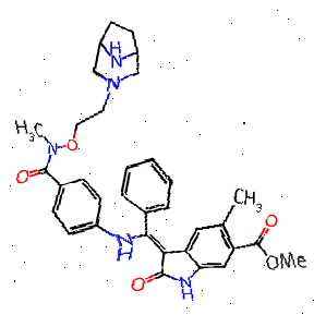 COC(=O)c1cc2c(cc1C)/C(=C(/Nc1ccc(C(=O)N(C)OCCN3CC4CCC(C3)N4)cc1)c1ccccc1)C(=O)N2